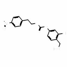 O=C(OCCc1ccc([N+](=O)[O-])cc1)Oc1ccc(CO)c(Cl)c1